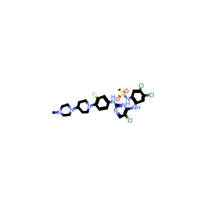 CN1CCN(C2CCN(c3ccc(Nc4ncc(Cl)c(Nc5cc(Cl)c(Cl)cc5NS(C)(=O)=O)n4)cc3F)CC2)CC1